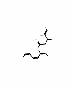 C\C=C/C=C\C(=C/C)N/C(CC(CC)/C(S)=C/C)=N\O